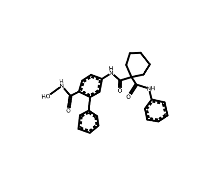 O=C(NO)c1ccc(NC(=O)C2(C(=O)Nc3ccccc3)CCCCC2)cc1-c1ccccc1